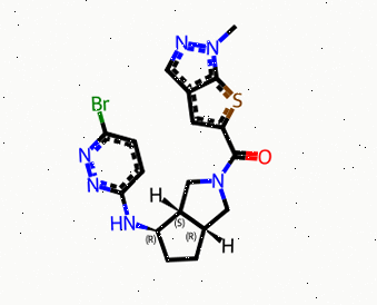 Cn1ncc2cc(C(=O)N3C[C@@H]4CC[C@@H](Nc5ccc(Br)nn5)[C@@H]4C3)sc21